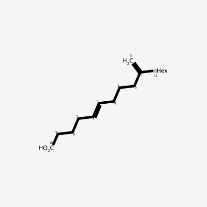 C=C(CCCC=CCCCC(=O)O)CCCCCC